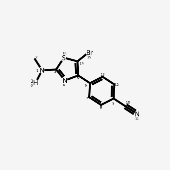 [2H]N(C)c1nc(-c2ccc(C#N)cc2)c(Br)s1